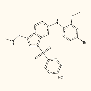 CCc1cc(Br)ccc1Nc1ccc2c(CNC)cn(S(=O)(=O)c3cccnc3)c2c1.Cl